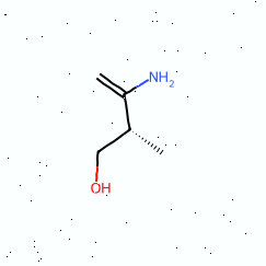 C=C(N)[C@H](C)CO